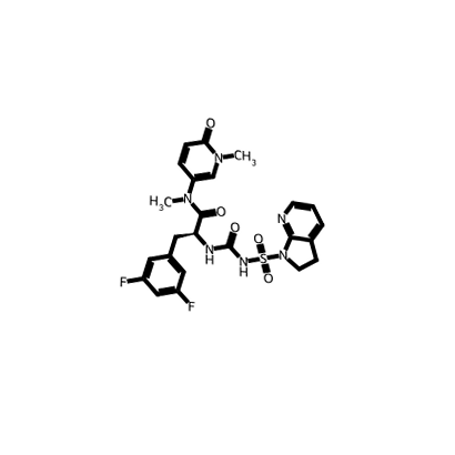 CN(C(=O)[C@H](Cc1cc(F)cc(F)c1)NC(=O)NS(=O)(=O)N1CCc2cccnc21)c1ccc(=O)n(C)c1